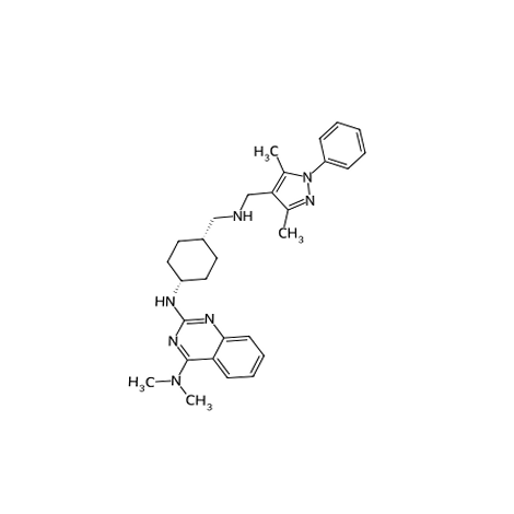 Cc1nn(-c2ccccc2)c(C)c1CNC[C@H]1CC[C@@H](Nc2nc(N(C)C)c3ccccc3n2)CC1